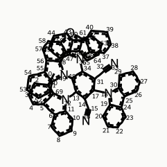 Cc1cccc2c3ccccc3n(-c3c(C#N)c(-n4c5ccccc5c5ccccc54)c(C#N)c(-n4c5ccccc5c5ccccc54)c3-n3c4ccccc4c4ccc5oc6ccccc6c5c43)c12